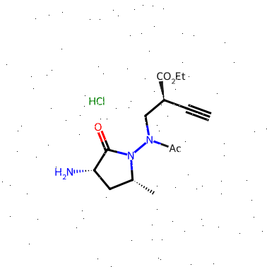 C#C[C@@H](CN(C(C)=O)N1C(=O)[C@@H](N)C[C@H]1C)C(=O)OCC.Cl